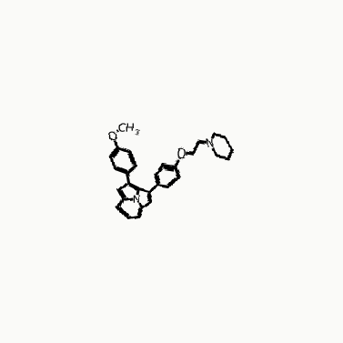 COc1ccc(-c2cc3cccc4cc(-c5ccc(OCCN6CCCCC6)cc5)c2n34)cc1